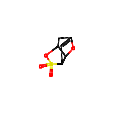 O=S1(=O)OC2CC3=CC1C2O3